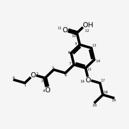 CCOC(=O)CCc1cc(C(=O)O)ccc1OCC(C)C